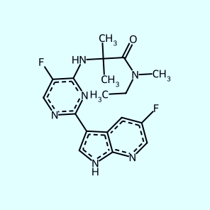 CCN(C)C(=O)C(C)(C)Nc1nc(-c2c[nH]c3ncc(F)cc23)ncc1F